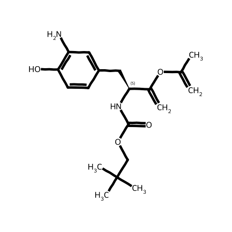 C=C(C)OC(=C)[C@H](Cc1ccc(O)c(N)c1)NC(=O)OCC(C)(C)C